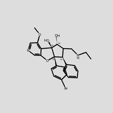 CCNCC1[C@@H](O)[C@@]2(O)c3c(OC)cncc3O[C@@]2(c2ccc(Br)cc2)[C@@H]1c1ccccc1